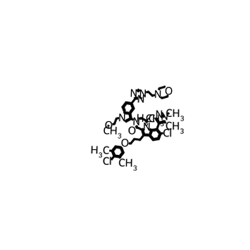 COCCn1cc(N2C[C@@H](C)n3c(c(CCCOc4cc(C)c(Cl)c(C)c4)c4ccc(Cl)c(-c5c(C)nn(C)c5C)c43)C2=O)c2cc(-c3ncn(CCN4CCOCC4)n3)ccc21